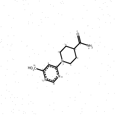 NC(=O)C1CCN(c2cc(C(=O)O)ncn2)CC1